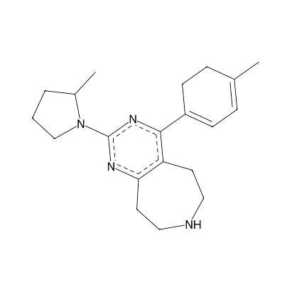 CC1=CC=C(c2nc(N3CCCC3C)nc3c2CCNCC3)CC1